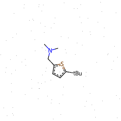 CN(C)Cc1ccc(C(C)(C)C)s1